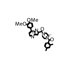 COc1ccc(-c2ccnc3cc(C(=O)N4CCN(C(=O)c5ccc(C)cc5C)[C@@H](C)C4)nn23)cc1OC